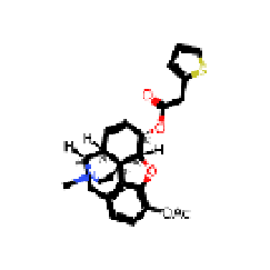 CC(=O)Oc1ccc2c3c1O[C@H]1[C@@H](OC(=O)Cc4cccs4)C=C[C@H]4[C@@H](C2)N(C)CC[C@@]341